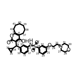 O=c1oc2c(c(O)c1C(c1cccc(NS(=O)(=O)c3cccc(OCCN4CCOCC4)c3)c1)C1CC1)CCCCCC2